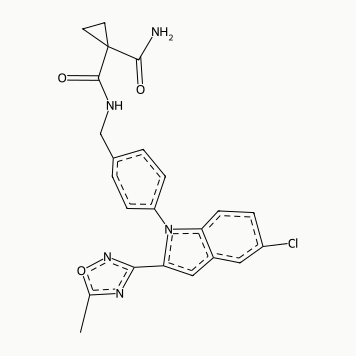 Cc1nc(-c2cc3cc(Cl)ccc3n2-c2ccc(CNC(=O)C3(C(N)=O)CC3)cc2)no1